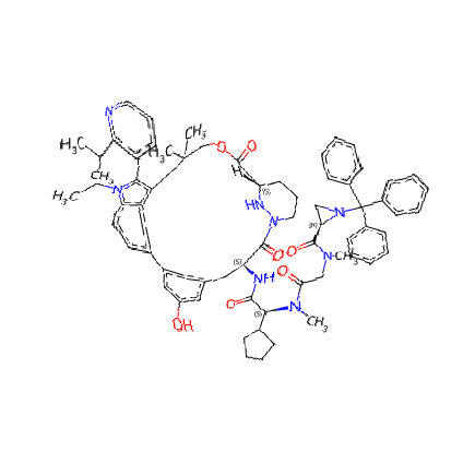 CCn1c(-c2cccnc2C(C)C)c2c3cc(ccc31)-c1cc(O)cc(c1)C[C@H](NC(=O)[C@H](C1CCCC1)N(C)C(=O)CN(C)C(=O)[C@H]1CN1C(c1ccccc1)(c1ccccc1)c1ccccc1)C(=O)N1CCC[C@H](N1)C(=O)OCC(C)(C)C2